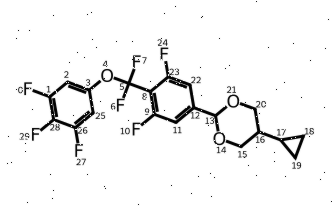 Fc1cc(OC(F)(F)c2c(F)cc(C3OCC(C4CC4)CO3)cc2F)cc(F)c1F